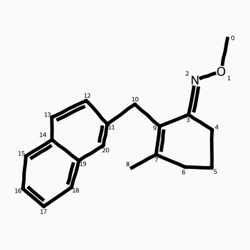 CON=C1CCCC(C)=C1Cc1ccc2ccccc2c1